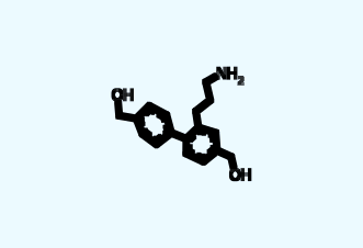 NCCCc1cc(CO)ccc1-c1ccc(CO)cc1